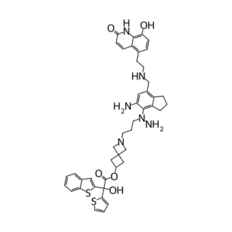 Nc1cc(CNCCc2ccc(O)c3[nH]c(=O)ccc23)c2c(c1N(N)CCCN1CC3(CC(OC(=O)C(O)(c4cccs4)c4cc5ccccc5s4)C3)C1)CCC2